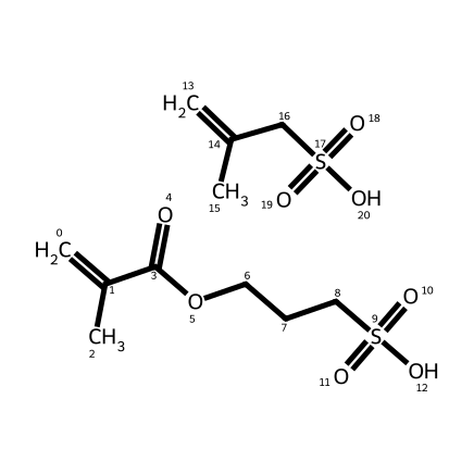 C=C(C)C(=O)OCCCS(=O)(=O)O.C=C(C)CS(=O)(=O)O